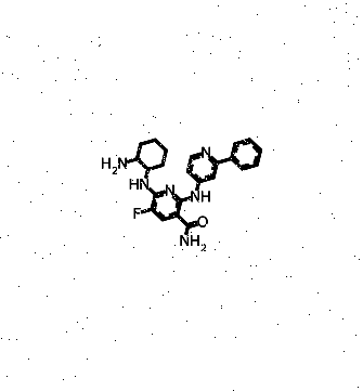 NC(=O)c1cc(F)c(NC2CCCCC2N)nc1Nc1ccnc(-c2ccccc2)c1